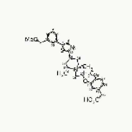 COCc1cccc(-c2cnc(N3C[C@@H](C)N(CCOc4cc(CC(=O)O)ccc4C)[C@@H](C)C3)s2)c1